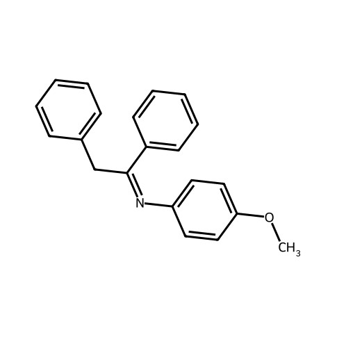 COc1ccc(N=C(Cc2ccccc2)c2ccccc2)cc1